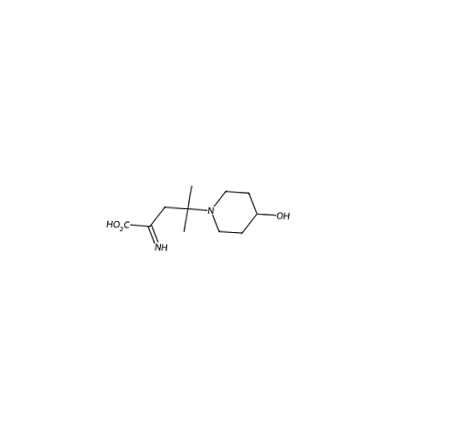 CC(C)(CC(=N)C(=O)O)N1CCC(O)CC1